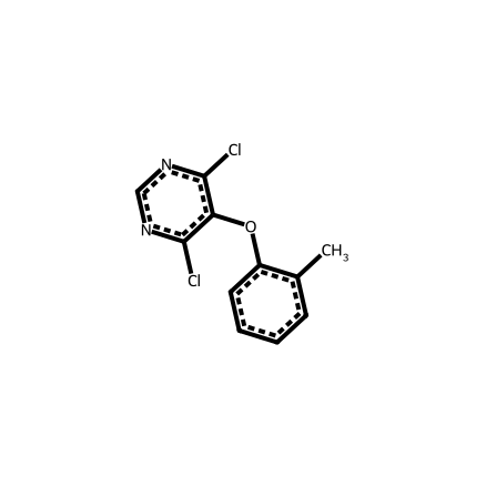 Cc1ccccc1Oc1c(Cl)ncnc1Cl